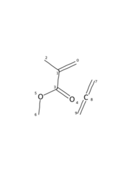 C=C(C)C(=O)OC.C=C=C